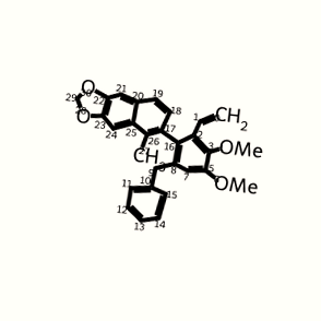 C=Cc1c(OC)c(OC)cc(Cc2ccccc2)c1-c1ccc2cc3c(cc2c1C)OCO3